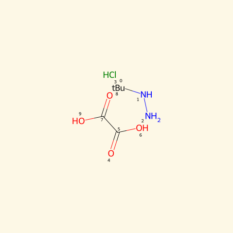 CC(C)(C)NN.Cl.O=C(O)C(=O)O